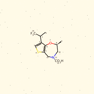 CC(c1csc2c1O[C@@H](C)CN(C(=O)O)C2)C(F)(F)F